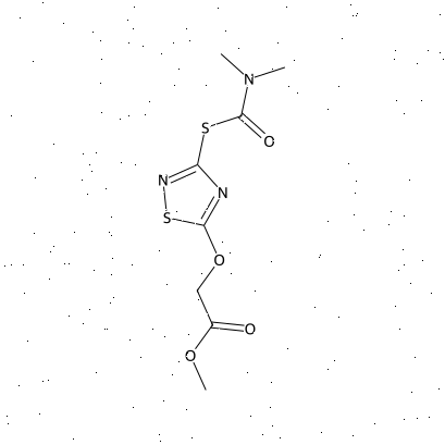 COC(=O)COc1nc(SC(=O)N(C)C)ns1